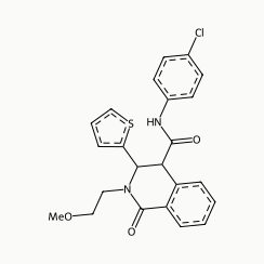 COCCN1C(=O)c2ccccc2C(C(=O)Nc2ccc(Cl)cc2)C1c1cccs1